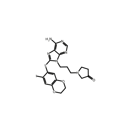 Nc1ncnc2c1nc(Sc1cc3c(cc1I)OCCO3)n2CCCN1CCC(=O)C1